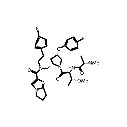 CN[C@@H](C)C(=O)N[C@H](C(=O)N1C[C@@H](Oc2ccc(F)cc2)C[C@H]1CN(CCc1ccc(F)cc1)C(=O)c1cn2c(n1)CCC2)[C@@H](C)OC